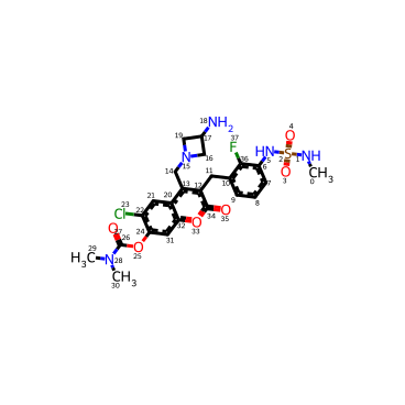 CNS(=O)(=O)Nc1cccc(Cc2c(CN3CC(N)C3)c3cc(Cl)c(OC(=O)N(C)C)cc3oc2=O)c1F